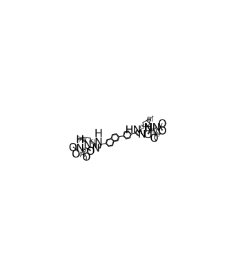 COC(=O)N[C@H](C(=O)N1C2C(C[C@H]1c1ncc(-c3ccc(-c4ccc5cc(-c6cnc([C@@H]7CC8C([C@@H]8C)N7C(=O)[C@@H](NC(=O)OC)[C@@H](C)OC)[nH]6)ccc5c4)cc3)[nH]1)[C@H]2C)[C@@H](C)OC